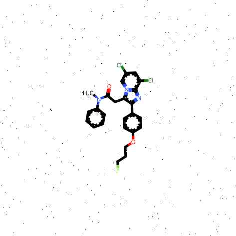 CN(C(=O)Cc1c(-c2ccc(OCCCF)cc2)nc2c(Cl)cc(Cl)cn12)c1ccccc1